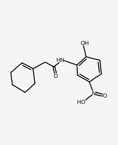 O=C(CC1=CCCCC1)Nc1cc([N+](=O)O)ccc1O